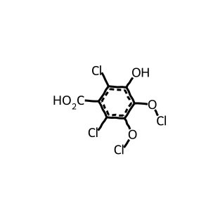 O=C(O)c1c(Cl)c(O)c(OCl)c(OCl)c1Cl